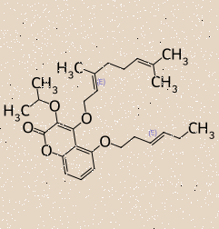 CC/C=C/CCOc1cccc2oc(=O)c(OC(C)C)c(OC/C=C(\C)CCC=C(C)C)c12